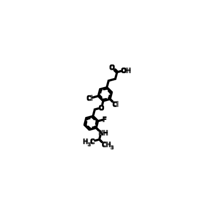 CC(C)Nc1cccc(COc2c(Cl)cc(CCC(=O)O)cc2Cl)c1F